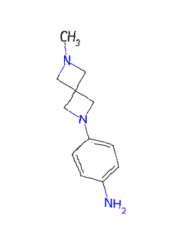 CN1CC2(C1)CN(c1ccc(N)cc1)C2